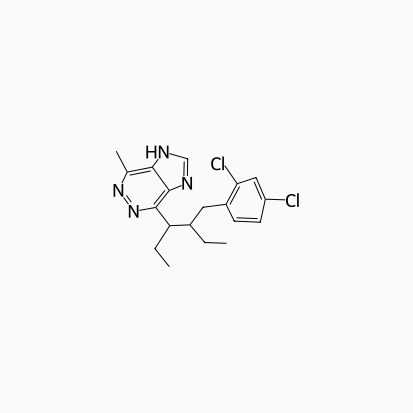 CCC(Cc1ccc(Cl)cc1Cl)C(CC)c1nnc(C)c2[nH]cnc12